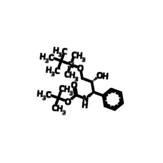 CC(C)(C)OC(=O)N[C@H](c1ccccc1)[C@@H](O)CO[Si](C)(C)C(C)(C)C